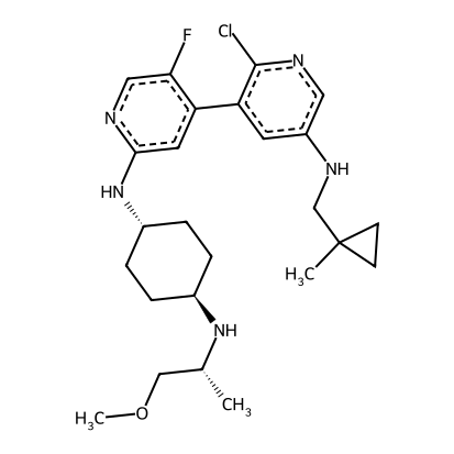 COC[C@@H](C)N[C@H]1CC[C@H](Nc2cc(-c3cc(NCC4(C)CC4)cnc3Cl)c(F)cn2)CC1